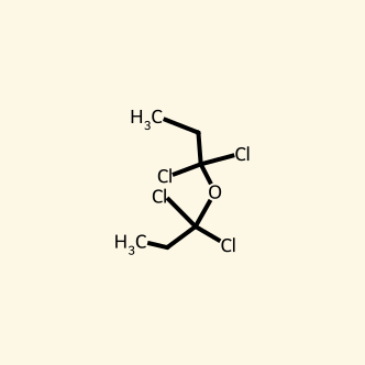 CCC(Cl)(Cl)OC(Cl)(Cl)CC